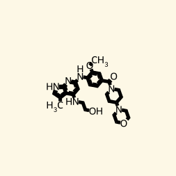 COc1cc(C(=O)N2CCC(N3CCOCC3)CC2)ccc1Nc1cc(NCCO)c2c(C)c[nH]c2n1